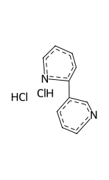 Cl.Cl.c1ccc(-c2cccnc2)nc1